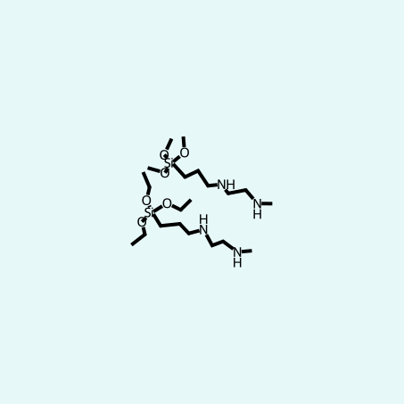 CCO[Si](CCCNCCNC)(OCC)OCC.CNCCNCCC[Si](OC)(OC)OC